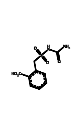 NC(=O)NS(=O)(=O)Cc1ccccc1C(=O)O